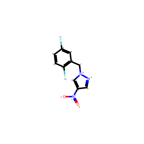 O=[N+]([O-])c1cnn(Cc2cc(F)ccc2F)c1